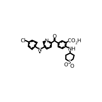 CN(c1ccc(Cl)cc1)c1ccc(C(=O)c2ccc(NC3CCS(=O)(=O)CC3)c(C(=O)O)c2)nc1